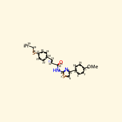 COc1ccc(-c2csc(NC(=O)/C=C/c3ccc(SCC(C)C)cc3)n2)cc1